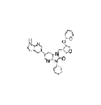 O=c1n(CC2COCC2OC2C=CC=CO2)c2cc(-c3cnc4[nH]ccc4c3)cnc2n1-c1ccccc1